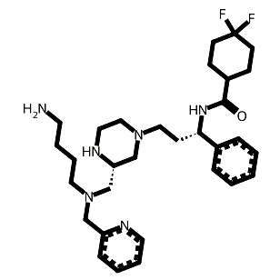 NCCCCN(Cc1ccccn1)C[C@H]1CN(CC[C@H](NC(=O)C2CCC(F)(F)CC2)c2ccccc2)CCN1